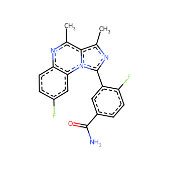 Cc1nc(-c2cc(C(N)=O)ccc2F)n2c1c(C)nc1ccc(F)cc12